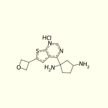 Cl.NC1CCC(N)(c2ncnc3sc(C4COC4)cc23)C1